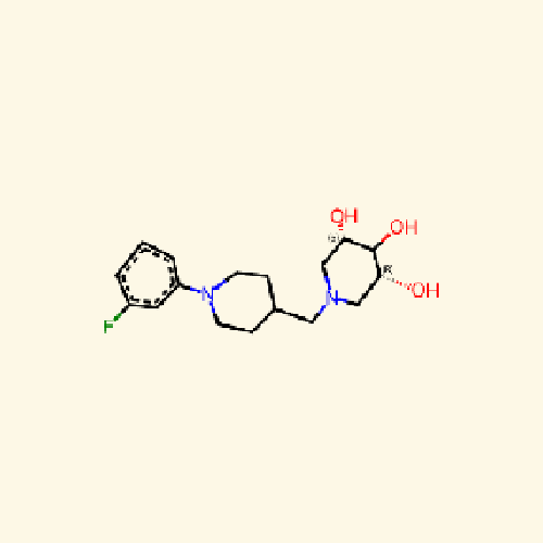 OC1[C@H](O)CN(CC2CCN(c3cccc(F)c3)CC2)C[C@@H]1O